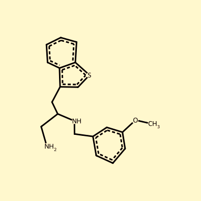 COc1cccc(CNC(CN)Cc2csc3ccccc23)c1